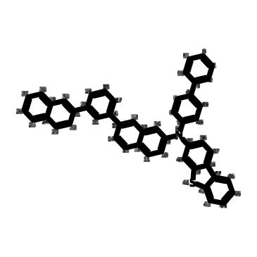 c1ccc(-c2ccc(N(c3ccc4ccc(-c5cccc(-c6ccc7ccccc7c6)c5)cc4c3)c3ccc4c(c3)sc3ccccc34)cc2)cc1